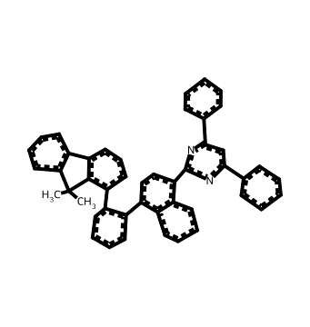 CC1(C)c2ccccc2-c2cccc(-c3ccccc3-c3ccc(-c4nc(-c5ccccc5)cc(-c5ccccc5)n4)c4ccccc34)c21